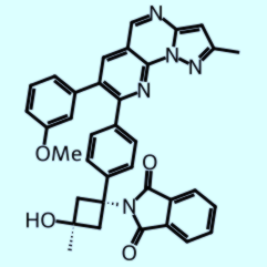 COc1cccc(-c2cc3cnc4cc(C)nn4c3nc2-c2ccc([C@]3(N4C(=O)c5ccccc5C4=O)C[C@](C)(O)C3)cc2)c1